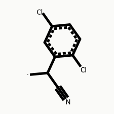 [CH2]C(C#N)c1cc(Cl)ccc1Cl